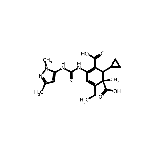 CCC1=CC(NC(=S)Nc2cc(C)nn2C)=C(C(=O)O)C(C2CC2)C1(C)C(=O)O